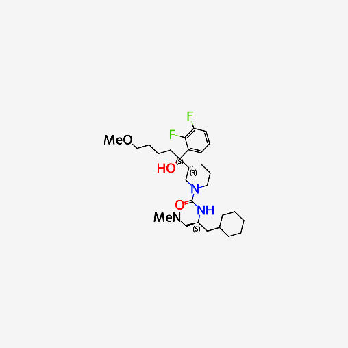 CNC[C@H](CC1CCCCC1)NC(=O)N1CCC[C@@H]([C@@](O)(CCCCOC)c2cccc(F)c2F)C1